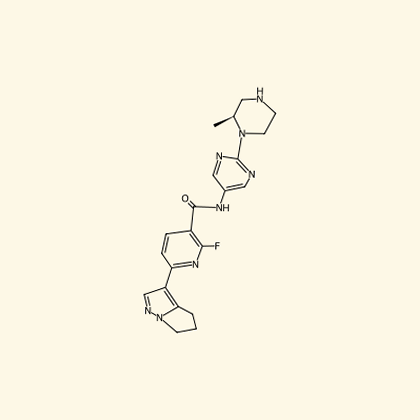 C[C@H]1CNCCN1c1ncc(NC(=O)c2ccc(-c3cnn4c3CCC4)nc2F)cn1